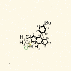 CC1=Cc2c(cc3c(c2-c2ccc(C(C)(C)C)cc2)CCC3)C1S(C)(C)Cl